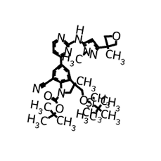 Cn1nc(C2(C)COC2)cc1Nc1nccc(-c2cc(C#N)c3c(c2)C(C)(CO[Si](C)(C)C(C)(C)C)CN3C(=O)OC(C)(C)C)n1